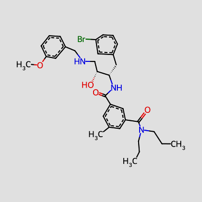 CCCN(CCC)C(=O)c1cc(C)cc(C(=O)N[C@@H](Cc2cccc(Br)c2)[C@H](O)CNCc2cccc(OC)c2)c1